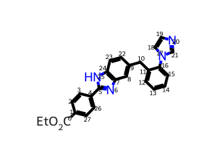 CCOC(=O)c1ccc(-c2nc3cc(Cc4ccccc4-n4ccnc4)ccc3[nH]2)cc1